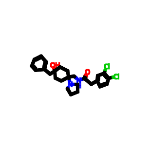 O=C(Cc1ccc(Cl)c(Cl)c1)NCC1(N2CCCC2)CCC(O)(Cc2ccccc2)CC1